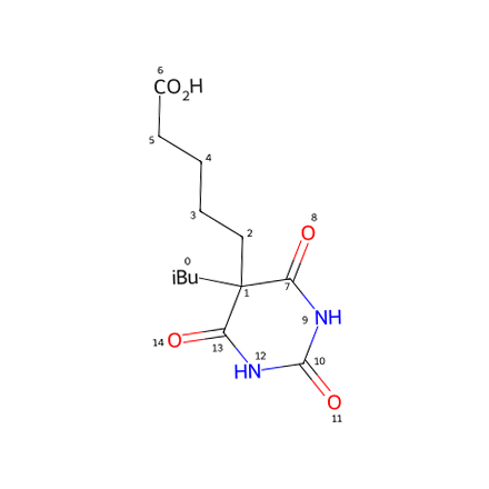 CCC(C)C1(CCCCC(=O)O)C(=O)NC(=O)NC1=O